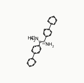 Cl.N[C@@H](c1ccc(-c2ccccc2)cc1)[C@@H](N)c1ccc(-c2ccccc2)cc1